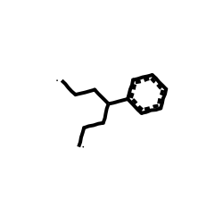 [CH2]CCC(CC[CH2])c1ccccc1